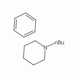 CCCCN1CCCCC1.c1ccccc1